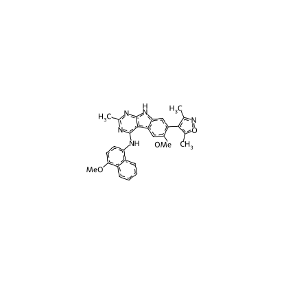 COc1cc2c(cc1-c1c(C)noc1C)[nH]c1nc(C)nc(Nc3ccc(OC)c4ccccc34)c12